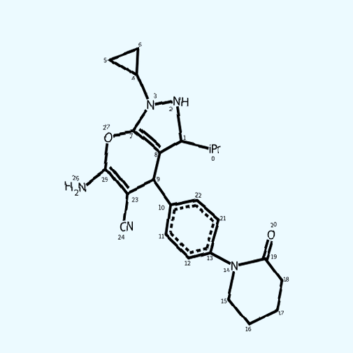 CC(C)C1NN(C2CC2)C2=C1C(c1ccc(N3CCCCC3=O)cc1)C(C#N)=C(N)O2